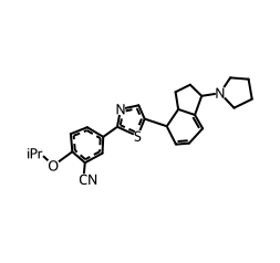 CC(C)Oc1ccc(-c2ncc(C3C=CC=C4C3CCC4N3CCCC3)s2)cc1C#N